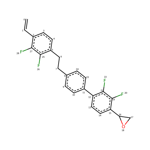 C=Cc1ccc(CCc2ccc(-c3ccc(C4CO4)c(F)c3F)cc2)c(F)c1F